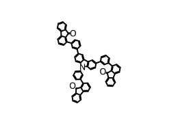 O=C1c2ccccc2-c2cccc(-c3cccc(-c4ccc5c(c4)c4cc(-c6cccc(-c7cccc8c7C(=O)c7ccccc7-8)c6)ccc4n5-c4cccc(-c5cccc6c5C(=O)c5ccccc5-6)c4)c3)c21